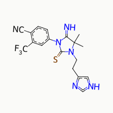 CC1(C)C(=N)N(c2ccc(C#N)c(C(F)(F)F)c2)C(=S)N1CCc1c[nH]cn1